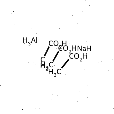 CC(=O)O.CC(=O)O.CC(=O)O.[AlH3].[NaH]